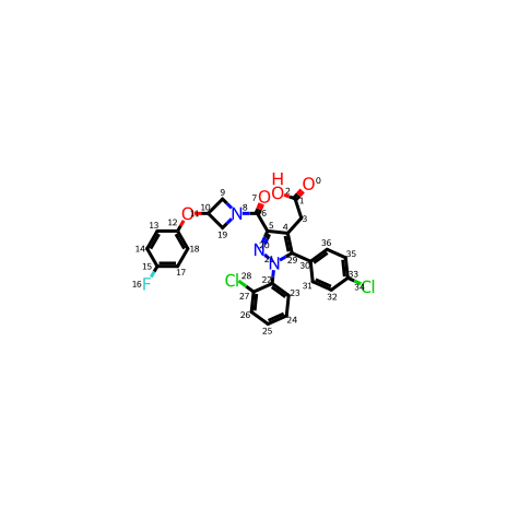 O=C(O)Cc1c(C(=O)N2CC(Oc3ccc(F)cc3)C2)nn(-c2ccccc2Cl)c1-c1ccc(Cl)cc1